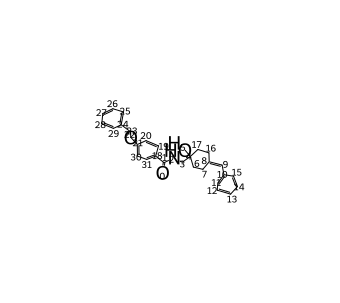 O=C(NCC1(O)CCC(=Cc2ccccc2)CC1)c1ccc(OCc2ccccc2)cc1